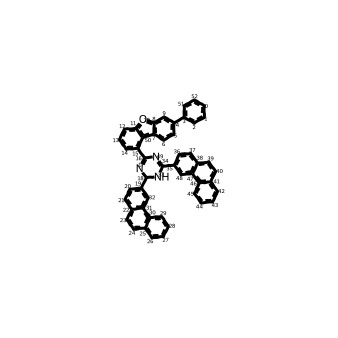 c1ccc(-c2ccc3c(c2)oc2cccc(C4=NC(c5ccc6ccc7ccccc7c6c5)NC(c5ccc6ccc7ccccc7c6c5)=N4)c23)cc1